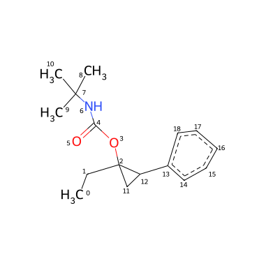 CCC1(OC(=O)NC(C)(C)C)CC1c1ccccc1